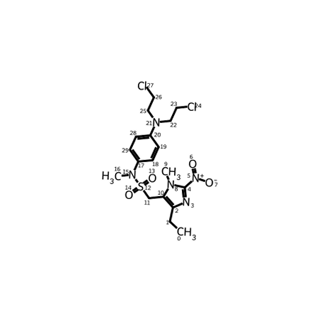 CCc1nc([N+](=O)[O-])n(C)c1CS(=O)(=O)N(C)c1ccc(N(CCCl)CCCl)cc1